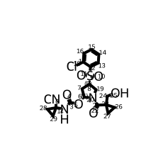 N#CC1(NC(=O)O[C@H]2C[C@@H](S(=O)(=O)c3ccccc3Cl)CN2C(=O)C2(CO)CC2)CC1